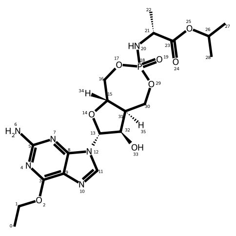 CCOc1nc(N)nc2c1ncn2[C@@H]1O[C@@H]2COP(=O)(N[C@H](C)C(=O)OC(C)C)OC[C@H]2[C@H]1O